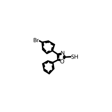 Sc1nc(-c2ccc(Br)cc2)c(-c2ccccc2)o1